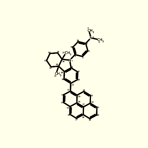 CN(C)c1ccc(N2c3ccc(-c4ccc5ccc6cccc7ccc4c5c67)cc3C3(C)CCCCC23C)cc1